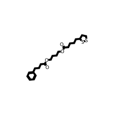 O=C(CCCCC1CCSS1)OCCCCOC(=O)CCCc1ccccc1